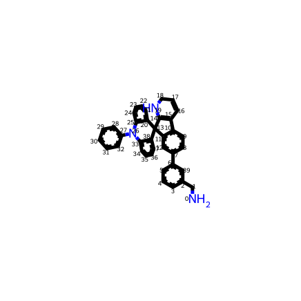 NCc1cccc(-c2ccc3c(c2)C2(C4=C3C=CCN4)c3ccccc3N(c3ccccc3)c3ccccc32)c1